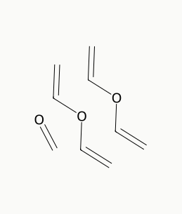 C=COC=C.C=COC=C.C=O